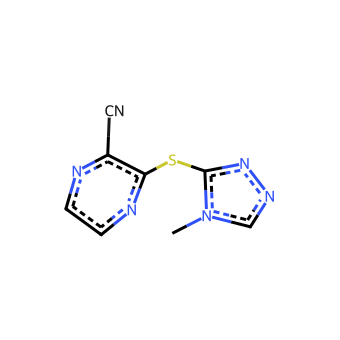 Cn1cnnc1Sc1nccnc1C#N